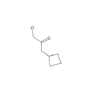 O=C(CCl)CC1CCC1